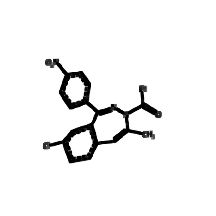 CCC(=O)N1N=C(c2ccc([N+](=O)[O-])cc2)c2cc(Cl)ccc2C=C1C